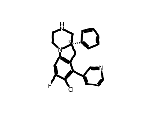 Fc1cc2c(c(-c3cccnc3)c1Cl)C[C@]1(c3ccccc3)CNCCN21